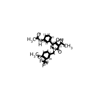 COc1ccc(Cn2nc(-c3cccc(NC(C)=O)c3)c3onc(C)c3c2=O)cc1C(F)(F)F